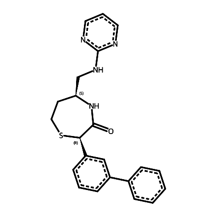 O=C1N[C@H](CNc2ncccn2)CCS[C@@H]1c1cccc(-c2ccccc2)c1